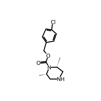 C[C@@H]1CNC[C@H](C)N1C(=O)OCc1ccc(Cl)cc1